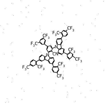 N#Cc1c(-n2c3ccc(-c4ccc(C(F)(F)F)cc4C(F)(F)F)cc3c3cc(-c4ccc(C(F)(F)F)cc4C(F)(F)F)ccc32)cc(-c2cc(C(F)(F)F)cc(C(F)(F)F)c2)cc1-n1c2ccc(-c3ccc(C(F)(F)F)cc3C(F)(F)F)cc2c2cc(-c3ccc(C(F)(F)F)cc3C(F)(F)F)ccc21